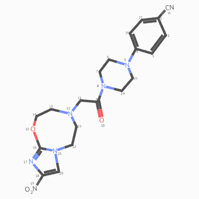 N#Cc1ccc(N2CCN(C(=O)CN3CCOc4nc([N+](=O)[O-])cn4CC3)CC2)cc1